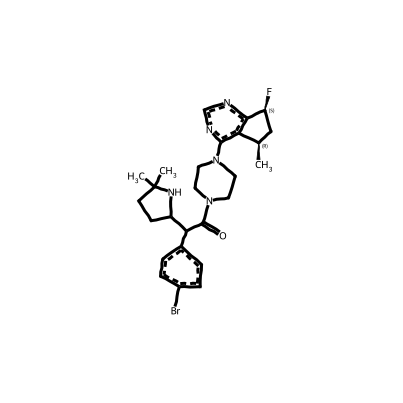 C[C@@H]1C[C@H](F)c2ncnc(N3CCN(C(=O)C(c4ccc(Br)cc4)C4CCC(C)(C)N4)CC3)c21